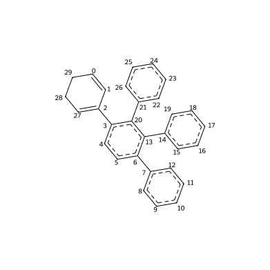 C1=CC(c2ccc(-c3ccccc3)c(-c3ccccc3)c2-c2ccccc2)=CCC1